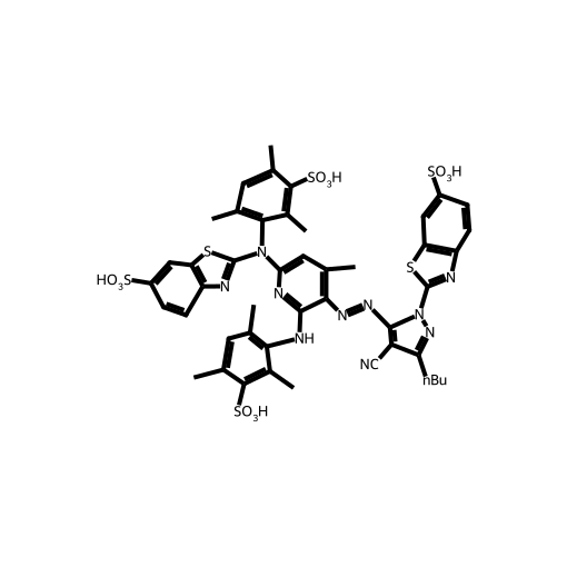 CCCCc1nn(-c2nc3ccc(S(=O)(=O)O)cc3s2)c(N=Nc2c(C)cc(N(c3nc4ccc(S(=O)(=O)O)cc4s3)c3c(C)cc(C)c(S(=O)(=O)O)c3C)nc2Nc2c(C)cc(C)c(S(=O)(=O)O)c2C)c1C#N